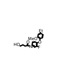 CCc1ccc(Oc2ccc(NC(=O)CCCO)cc2F)c(OC)c1